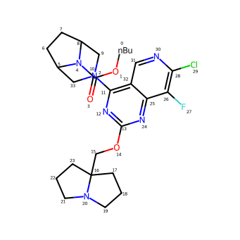 CCCCOC(=O)N1C2CCC1CN(c1nc(OCC34CCCN3CCC4)nc3c(F)c(Cl)ncc13)C2